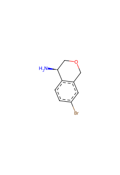 N[C@H]1COCc2cc(Br)ccc21